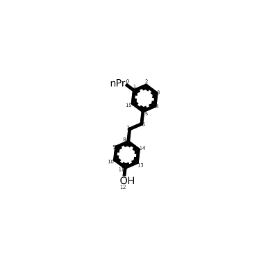 CCCc1cccc(CCc2ccc(O)cc2)c1